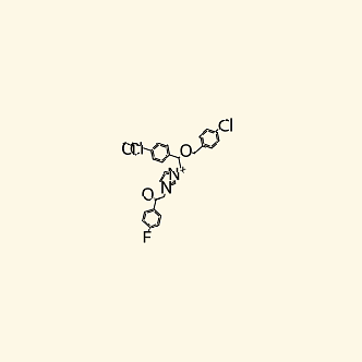 O=C(Cn1cc[n+](CC(OCc2ccc(Cl)cc2)c2ccc(Cl)cc2)c1)c1ccc(F)cc1.[Cl-]